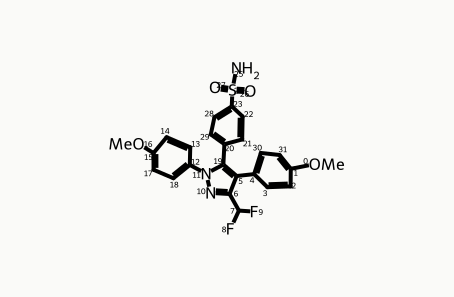 COc1ccc(-c2c(C(F)F)nn(-c3ccc(OC)cc3)c2-c2ccc(S(N)(=O)=O)cc2)cc1